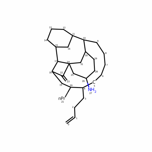 C=CCCC1CCCCCC2C3CCCC(C3)C3C(CC1CCC)C(=C)C31CC(N)CCC2C1